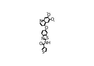 COc1cc2nccc(Oc3ccc4nc(NC(=O)c5ccsc5)sc4c3)c2cc1OC